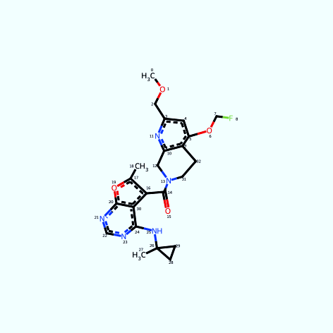 COCc1cc(OCF)c2c(n1)CN(C(=O)c1c(C)oc3ncnc(NC4(C)CC4)c13)CC2